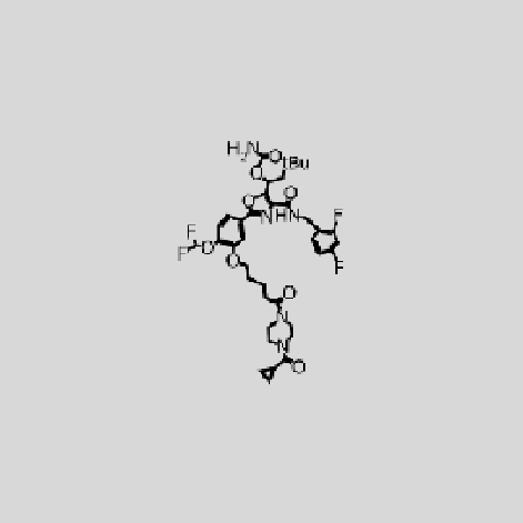 CC(C)(C)CC(OC(N)=O)c1oc(-c2ccc(OC(F)F)c(OCCCCC(=O)N3CCN(C(=O)C4CC4)CC3)c2)nc1C(=O)NCc1ccc(F)cc1F